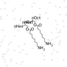 CCCCCCCCC(CCCCCC)COC(=O)CCCCCCCN.CCCCCCCCC(CCCCCC)COC(=O)CCCCCCCN